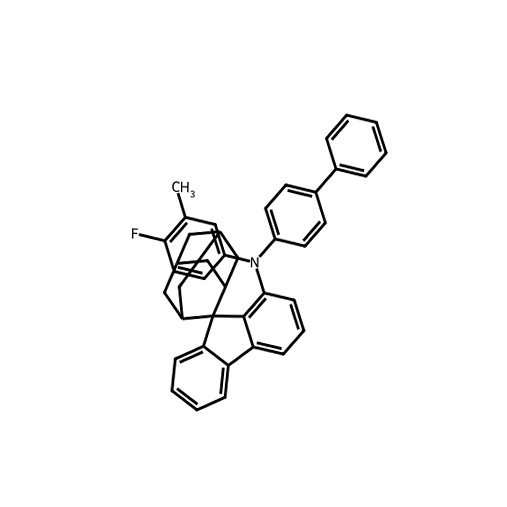 Cc1cc(N(c2ccc(-c3ccccc3)cc2)c2cccc3c2C2(c4ccccc4-3)C3CC4CC(C3)CC2C4)ccc1F